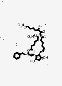 CCC(CCCCO[N+](=O)[O-])C(=O)NC(=O)CCC/C=C\C[C@@H]1[C@@H](/C=C/[C@H](CCc2ccccc2)OC(=O)CCCCCO[N+](=O)[O-])[C@H](O)C[C@@H]1O